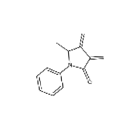 C=C1C(=C)C(C)N(c2ccccc2)C1=O